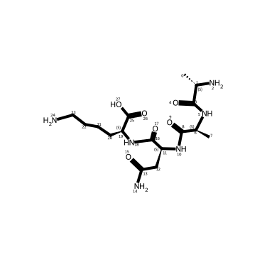 C[C@H](N)C(=O)N[C@@H](C)C(=O)N[C@@H](CC(N)=O)C(=O)N[C@@H](CCCCN)C(=O)O